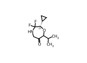 CC(C)C1O[C@@H](C2CC2)C(F)(F)NCC1=O